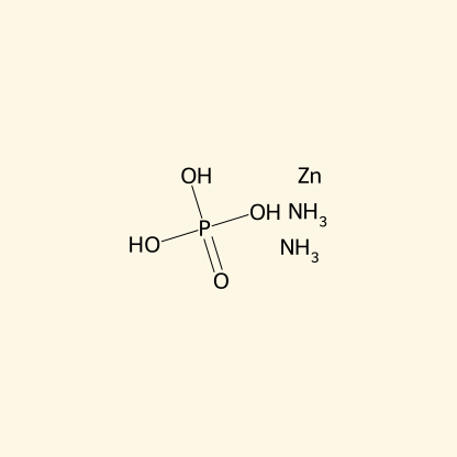 N.N.O=P(O)(O)O.[Zn]